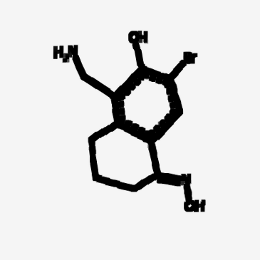 NCc1c(O)c(Br)cc2c1CCCC2=NO